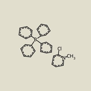 C[n+]1ccccc1Cl.c1ccc([B-](c2ccccc2)(c2ccccc2)c2ccccc2)cc1